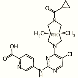 C[C@@]12CN(C(=O)C3CC3)C[C@]1(C)CN(c1nc(Nc3ccc(C(=O)O)nc3)ncc1Cl)C2